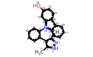 Cc1n[nH]c(C)c1-c1ccccc1-n1c2ccccc2c2ccc(O)cc21